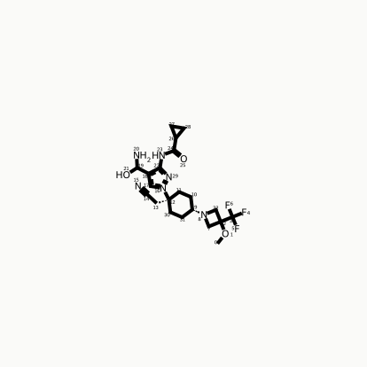 COC1(C(F)(F)F)CN([C@H]2CC[C@](CC#N)(n3cc(C(N)O)c(NC(=O)C4CC4)n3)CC2)C1